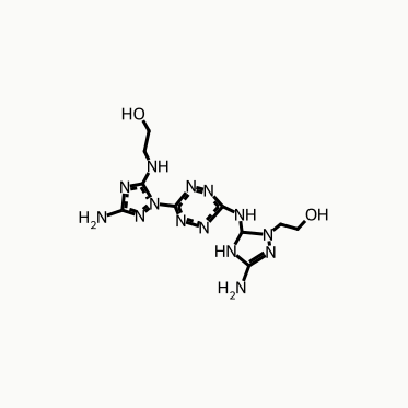 NC1=NN(CCO)C(Nc2nnc(-n3nc(N)nc3NCCO)nn2)N1